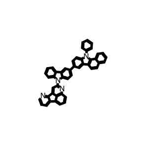 c1ccc(-n2c3ccc(-c4ccc5c(c4)c4ccccc4n5-c4cc5c6c(cccc6n4)-c4cccnc4-5)cc3c3ccc4ccccc4c32)cc1